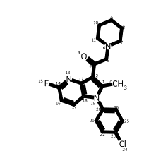 Cc1c(C(=O)CN2CCCCC2)c2nc(F)ccc2n1-c1ccc(Cl)cc1